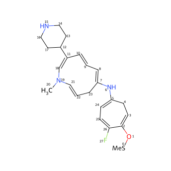 CSOC1=CCC(N/C2=C/C=C/C(C3CCNCC3)=C\N(C)/C=C/C2)=CC=C1F